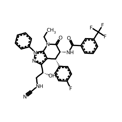 CCN1C(=O)[C@H](NC(=O)c2cccc(C(F)(F)F)c2)[C@H](c2ccc(F)cc2)c2c([C@H](O)CNC#N)nn(-c3ccccc3)c21